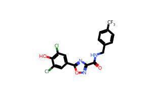 O=C(NCc1ccc(C(F)(F)F)cc1)c1noc(-c2cc(Cl)c(O)c(Cl)c2)n1